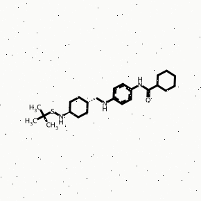 CC(C)(C)SN[C@H]1CC[C@H](CNc2ccc(NC(=O)C3CCCCC3)cc2)CC1